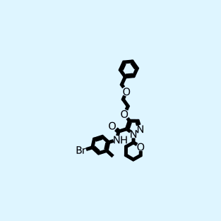 Cc1cc(Br)ccc1NC(=O)c1c(OCCOCc2ccccc2)cnn1C1CCCCO1